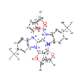 Cc1ccc(N2/C(=C3/N(c4ccc(C)o4)c4ccc(C(C)(C)C)cc4N3c3ccc(C)o3)N(c3ccc(C)o3)c3cc(C(C)(C)C)ccc32)o1